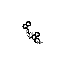 c1ccc2c(c1)-c1nc(NCc3cccc4ccccc34)ncc1CC21CCNCC1